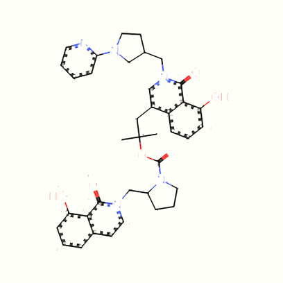 CC(C)(Cc1cn(CC2CCN(c3ccccn3)C2)c(=O)c2c(O)cccc12)OC(=O)N1CCCC1Cn1ccc2cccc(O)c2c1=O